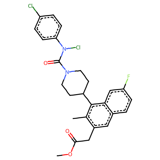 COC(=O)Cc1cc2ccc(F)cc2c(C2CCN(C(=O)N(Cl)c3ccc(Cl)cc3)CC2)c1C